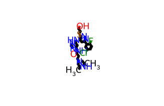 CC1CN(CCC(=O)Nc2cc(Nc3cc(-c4cc(Cl)ccc4F)nnc3SCCO)ncn2)CC(C)N1